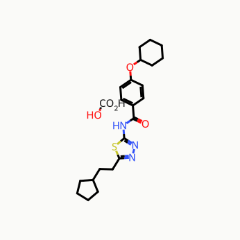 O=C(Nc1nnc(CCC2CCCC2)s1)c1ccc(OC2CCCCC2)cc1.O=C(O)O